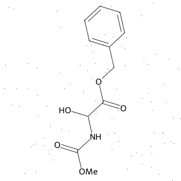 COC(=O)NC(O)C(=O)OCc1ccccc1